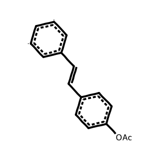 CC(=O)Oc1ccc(C=Cc2c[c]c[c]c2)cc1